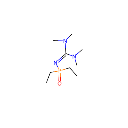 CCP(=O)(CC)N=C(N(C)C)N(C)C